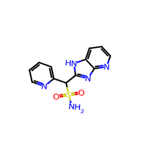 NS(=O)(=O)C(c1ccccn1)c1nc2ncccc2[nH]1